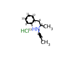 CC#CNC(C)Cc1ccccc1.Cl